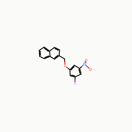 O=[N+]([O-])c1cc(I)cc(OCc2ccc3ccccc3c2)c1